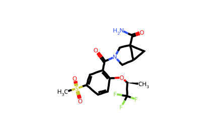 C[C@H](Oc1ccc(S(C)(=O)=O)cc1C(=O)N1CC2CC2(C(N)=O)C1)C(F)(F)F